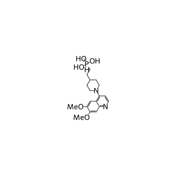 COc1cc2nccc(N3CCC(CC[PH](O)(O)O)CC3)c2cc1OC